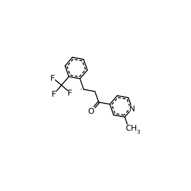 Cc1cc(C(=O)C[CH]c2ccccc2C(F)(F)F)ccn1